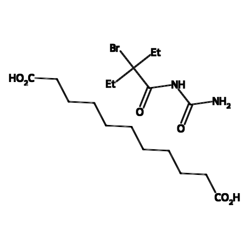 CCC(Br)(CC)C(=O)NC(N)=O.O=C(O)CCCCCCCCCC(=O)O